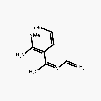 C=C/N=C(/C)C(/C=C\CCCC)=C(N)NC